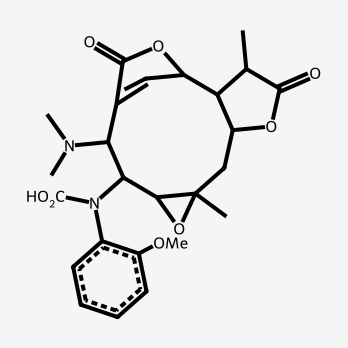 COc1ccccc1N(C(=O)O)C1C(N(C)C)C2=CC(OC2=O)C2C(CC3(C)OC13)OC(=O)C2C